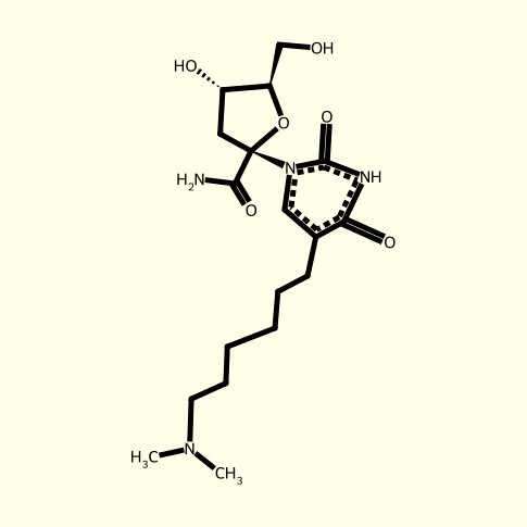 CN(C)CCCCCCc1cn([C@@]2(C(N)=O)C[C@H](O)[C@@H](CO)O2)c(=O)[nH]c1=O